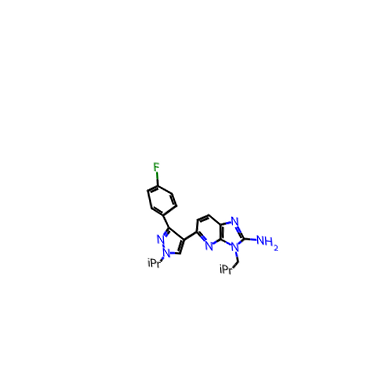 CC(C)Cn1c(N)nc2ccc(-c3cn(C(C)C)nc3-c3ccc(F)cc3)nc21